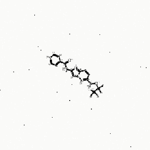 CC1(C)OB(c2ccc3nc(NC(=O)c4ccncc4)cn3n2)OC1(C)C